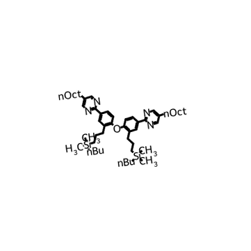 CCCCCCCCc1cnc(-c2ccc(Oc3ccc(-c4ncc(CCCCCCCC)cn4)cc3CCC[Si](C)(C)CCCC)c(CCC[Si](C)(C)CCCC)c2)nc1